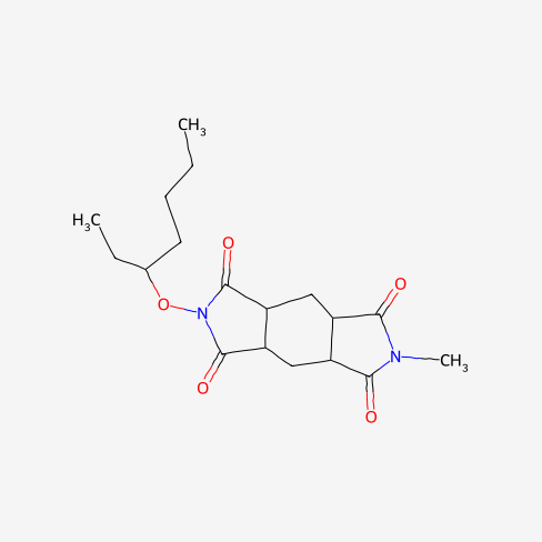 CCCCC(CC)ON1C(=O)C2CC3C(=O)N(C)C(=O)C3CC2C1=O